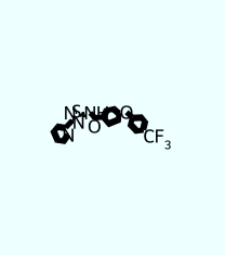 O=C(Nc1nc(-c2ccccn2)ns1)c1ccc(Oc2ccc(C(F)(F)F)cc2)cc1